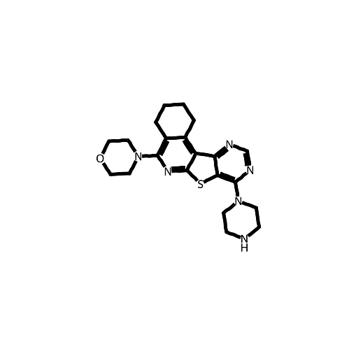 c1nc(N2CCNCC2)c2sc3nc(N4CCOCC4)c4c(c3c2n1)CCCC4